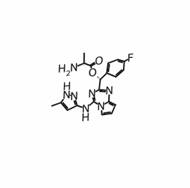 Cc1cc(Nc2nc([C@H](OC(=O)C(C)N)c3ccc(F)cc3)nc3cccn23)n[nH]1